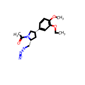 CCOc1cc([C@@H]2C[C@H](CN=[N+]=[N-])N(C(C)=O)C2)ccc1OC